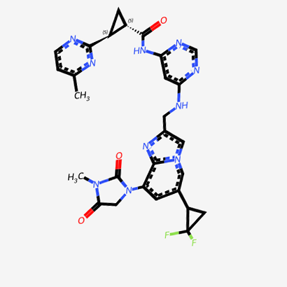 Cc1ccnc([C@H]2C[C@@H]2C(=O)Nc2cc(NCc3cn4cc(C5CC5(F)F)cc(N5CC(=O)N(C)C5=O)c4n3)ncn2)n1